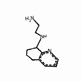 NCCNC1CCCc2cccnc21